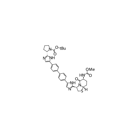 COC(=O)N[C@H]1CC[C@@H]2SC[C@@H](c3ncc(-c4ccc(-c5ccc(-c6cnc([C@@H]7CCCN7C(=O)OC(C)(C)C)[nH]6)cc5)cc4)[nH]3)N2C1=O